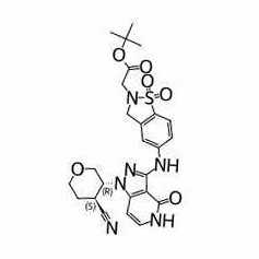 CC(C)(C)OC(=O)CN1Cc2cc(Nc3nn([C@H]4COCC[C@@H]4C#N)c4cc[nH]c(=O)c34)ccc2S1(=O)=O